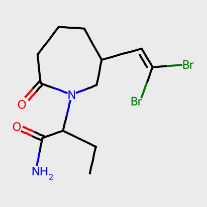 CCC(C(N)=O)N1CC(C=C(Br)Br)CCCC1=O